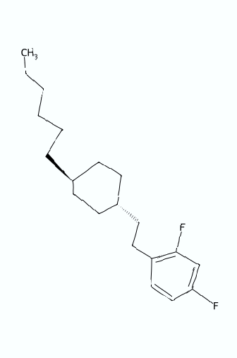 CCCCCC[C@H]1CC[C@H](CCc2ccc(F)cc2F)CC1